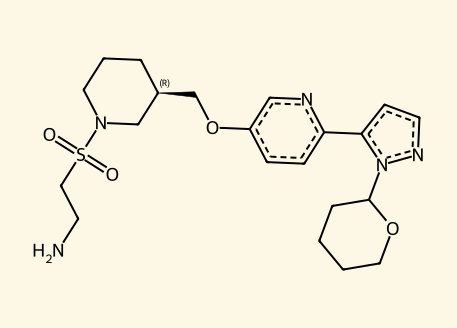 NCCS(=O)(=O)N1CCC[C@@H](COc2ccc(-c3ccnn3C3CCCCO3)nc2)C1